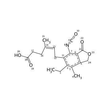 CCc1c(C)c2c(c(N=C=O)c1CC=C(C)CCC(=O)O)C(=O)OC2